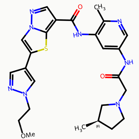 COCCn1cc(-c2cn3ncc(C(=O)Nc4cc(NC(=O)CN5CC[C@@H](C)C5)cnc4C)c3s2)cn1